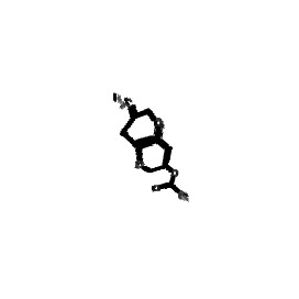 C=C1COC2=C(C1)OCC(OC(=O)CC)=C2